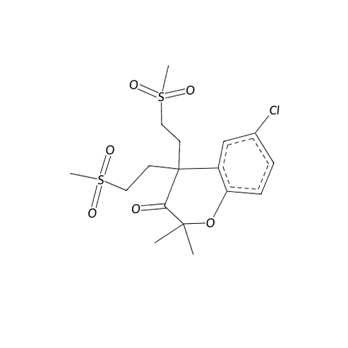 CC1(C)Oc2ccc(Cl)cc2C(CCS(C)(=O)=O)(CCS(C)(=O)=O)C1=O